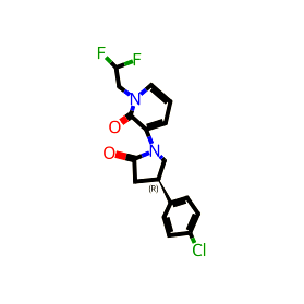 O=C1C[C@H](c2ccc(Cl)cc2)CN1c1cccn(CC(F)F)c1=O